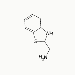 NCC1NC2CC=CC=C2S1